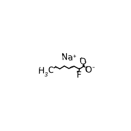 CCCCCCC(F)C(=O)[O-].[Na+]